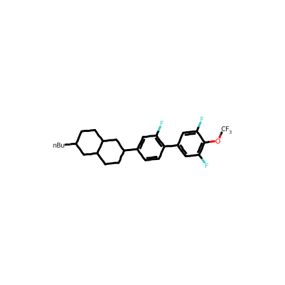 CCCCC1CCC2CC(c3ccc(-c4cc(F)c(OC(F)(F)F)c(F)c4)c(F)c3)CCC2C1